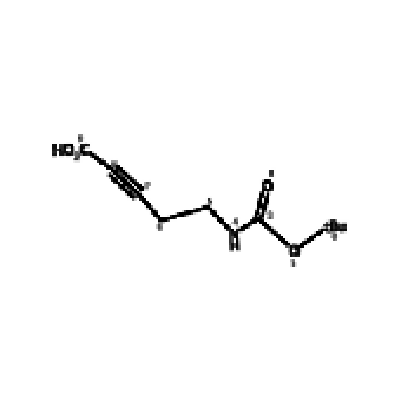 CC(C)(C)OC(=O)NCCC#CC(=O)O